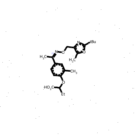 CCC(Oc1ccc(/C(C)=N\OCc2nc(C(C)(C)C)oc2C)cc1C)C(=O)O